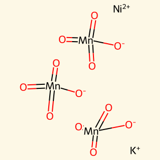 [K+].[Ni+2].[O]=[Mn](=[O])(=[O])[O-].[O]=[Mn](=[O])(=[O])[O-].[O]=[Mn](=[O])(=[O])[O-]